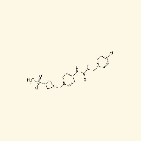 CS(=O)(=O)C1CN(Cc2ccc(NC(=O)NCc3ccc(Cl)cc3)cc2)C1